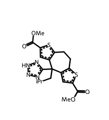 COC(=O)c1cc2c(s1)CCc1sc(C(=O)OC)cc1C2(CC(C)C)c1nn[nH]n1